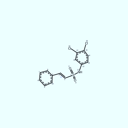 O=S(=O)(/C=C/c1ccccc1)Nc1ccc(Cl)c(Cl)c1